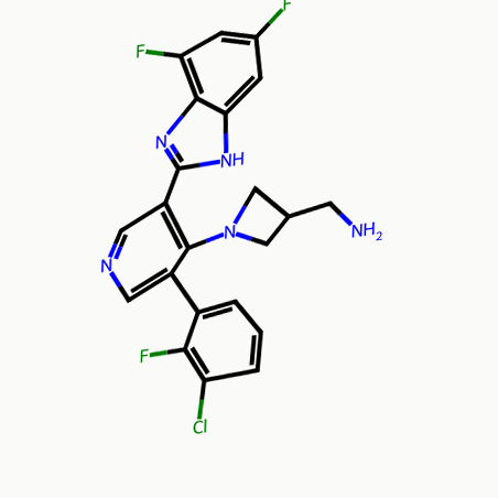 NCC1CN(c2c(-c3nc4c(F)cc(F)cc4[nH]3)cncc2-c2cccc(Cl)c2F)C1